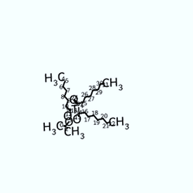 CC(C)[O-].CCCCCCC[C](=O)[Ti+]([C](=O)CCCCCCC)[C](=O)CCCCCCC